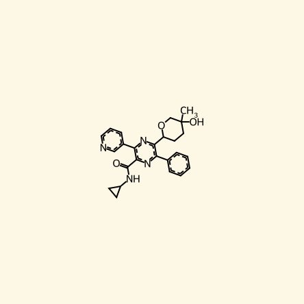 CC1(O)CCC(c2nc(-c3cccnc3)c(C(=O)NC3CC3)nc2-c2ccccc2)OC1